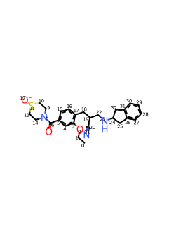 CCOc1cc(C(=O)N2CC[S+]([O-])CC2)ccc1CC(C#N)CNC1Cc2ccccc2C1